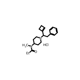 CCC(=O)N(C)C1CCN(C(Cc2ccccc2)C2=CCC2)CC1.Cl